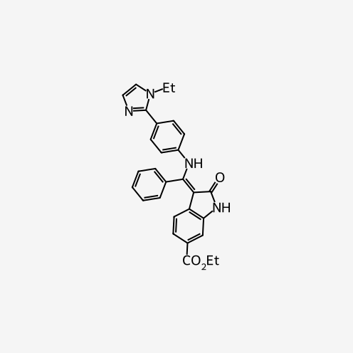 CCOC(=O)c1ccc2c(c1)NC(=O)/C2=C(\Nc1ccc(-c2nccn2CC)cc1)c1ccccc1